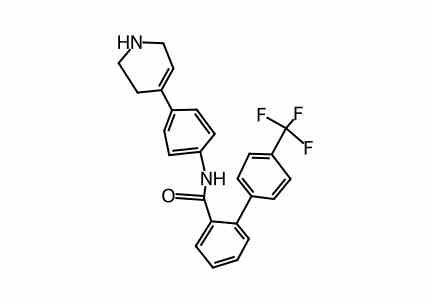 O=C(Nc1ccc(C2=CCNCC2)cc1)c1ccccc1-c1ccc(C(F)(F)F)cc1